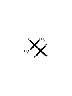 CC(C)(F)C(F)(F)F